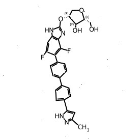 Cc1cc(-c2ccc(-c3ccc(-c4c(F)cc5[nH]c(O[C@@H]6CO[C@H](CO)[C@H]6O)nc5c4F)cc3)cc2)[nH]n1